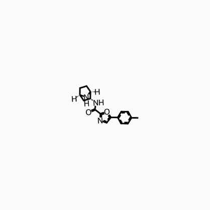 Cc1ccc(-c2cnc(C(=O)N[C@@H]3C[C@H]4CC[C@@H]3N4)o2)cc1